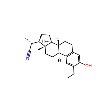 CCc1cc2c(cc1O)CC[C@@H]1[C@@H]2CC[C@]2(C)[C@@H]([C@@H](C)C#N)CC[C@@H]12